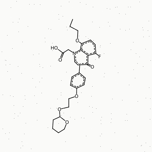 CCCOc1ccc(F)c2c(=O)c(-c3ccc(OCCOC4CCCCO4)cc3)cn(CC(=O)O)c12